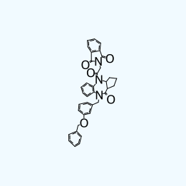 O=C1c2ccccc2C(=O)N1CC(=O)N1c2ccccc2N(Cc2cccc(OCc3ccccc3)c2)C(=O)C2CCCC21